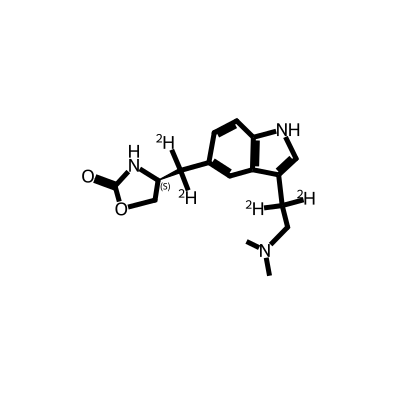 [2H]C([2H])(CN(C)C)c1c[nH]c2ccc(C([2H])([2H])[C@H]3COC(=O)N3)cc12